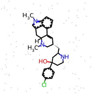 CN1C[C@@H](CC2CC(O)(c3ccc(Cl)cc3)CCN2)C=C2c3cccc4c3c(cn4C)C[C@H]21